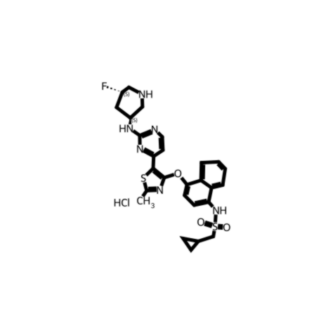 Cc1nc(Oc2ccc(NS(=O)(=O)CC3CC3)c3ccccc23)c(-c2ccnc(N[C@@H]3CNC[C@@H](F)C3)n2)s1.Cl